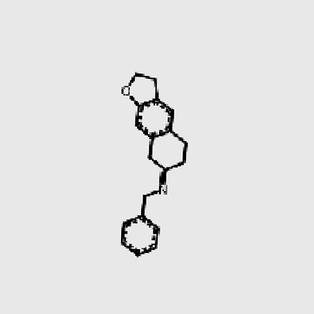 c1ccc(C/N=C2/CCc3cc4c(cc3C2)OCC4)cc1